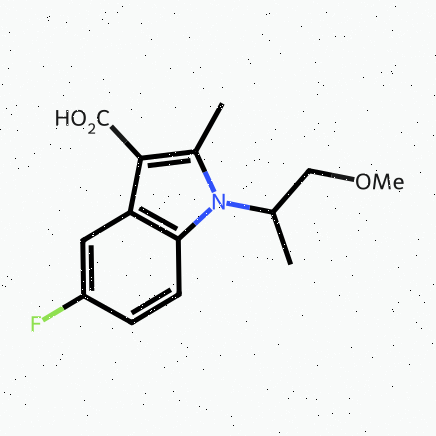 COCC(C)n1c(C)c(C(=O)O)c2cc(F)ccc21